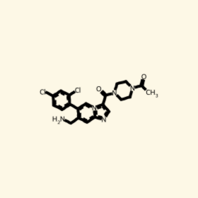 CC(=O)N1CCN(C(=O)c2cnc3cc(CN)c(-c4ccc(Cl)cc4Cl)cn23)CC1